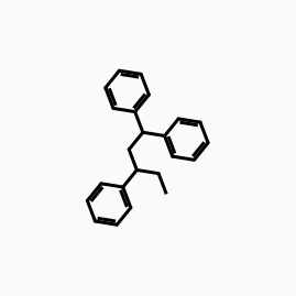 CCC(CC(c1ccccc1)c1ccccc1)c1ccccc1